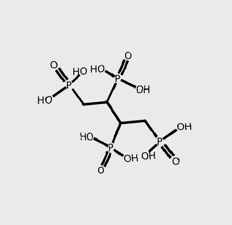 O=P(O)(O)CC(C(CP(=O)(O)O)P(=O)(O)O)P(=O)(O)O